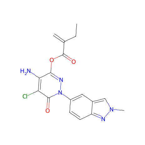 C=C(CC)C(=O)Oc1nn(-c2ccc3nn(C)cc3c2)c(=O)c(Cl)c1N